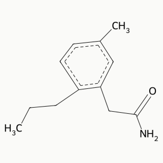 CCCc1ccc(C)cc1CC(N)=O